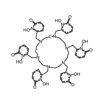 O=c1cccc(CN2CCN(Cc3cccc(=O)n3O)CCN(Cc3cccc(=O)n3O)CCN(Cc3cccc(=O)n3O)CCN(Cc3cccc(=O)n3O)CCN(Cc3cccc(=O)n3O)CC2)n1O